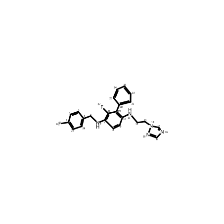 Fc1ccc(CNc2ccc(NCCn3cncn3)c(-c3ccccc3)c2F)cc1